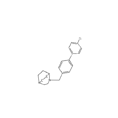 Clc1ccc(-c2ccc(CN3CCN4CCC3CC4)cc2)cc1